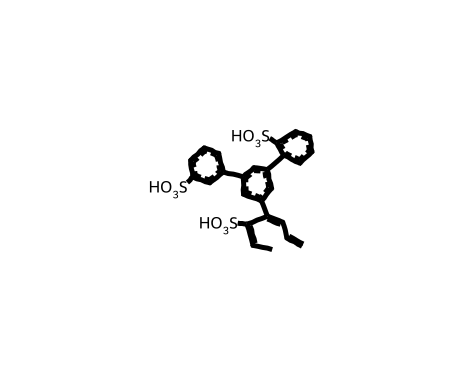 C=C/C=C(\C(=C/C)S(=O)(=O)O)c1cc(-c2cccc(S(=O)(=O)O)c2)cc(-c2ccccc2S(=O)(=O)O)c1